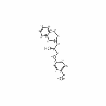 OCc1ccc(OCC(O)CN2CCc3ccccc3C2)cc1